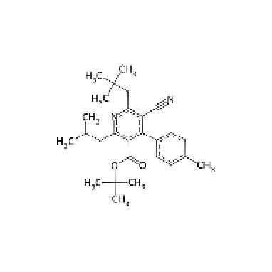 Cc1ccc(-c2c(C#N)c(CC(C)(C)C)nc(CC(C)C)c2C(=O)OC(C)(C)C)cc1